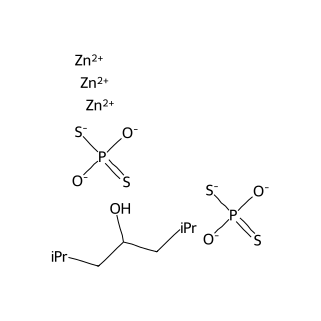 CC(C)CC(O)CC(C)C.[O-]P([O-])(=S)[S-].[O-]P([O-])(=S)[S-].[Zn+2].[Zn+2].[Zn+2]